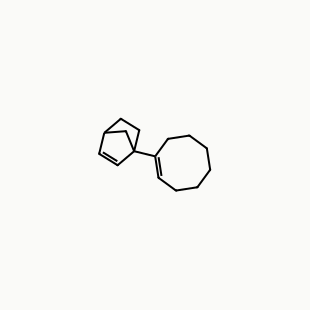 C1=CC2(C3=CCCCCCC3)CCC1C2